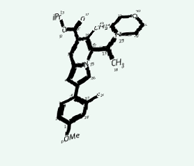 COc1ccc(-c2cc3cc(C(=O)OC(C)C)c(C)c(C(C)N4CCOCC4)n3c2)c(F)c1